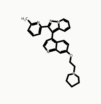 Cc1cccc(-c2nn3ccccc3c2-c2ccnc3cc(OCCN4CCCCC4)ccc23)n1